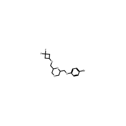 FC1(F)CC(OCC2COCC(COc3ccc(Br)cc3)O2)C1